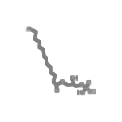 CC(C)CCCCCCCCCCCCC(=O)OCC(O)COP(=O)(O)O